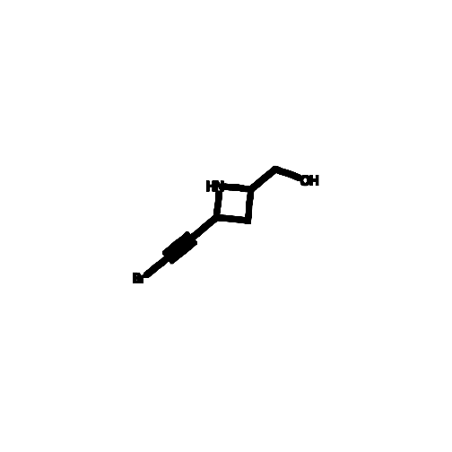 OCC1CC(C#CBr)N1